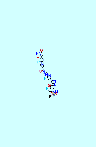 CCN(C)S(=O)(=O)Nc1ccc(F)c(C(=O)c2c[nH]c3ncc(-c4cnc(N5CCN(C(=O)CC6(O)CCN(c7ccc(C8CCC(=O)NC8=O)cc7F)CC6)CC5)c(F)c4)cc23)c1C